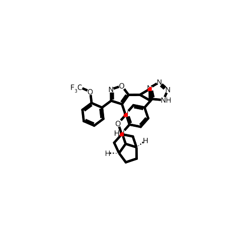 FC(F)(F)Oc1ccccc1-c1noc(C2CC2)c1COC1C[C@H]2CC[C@@H](C1)C2Nc1ccc(-c2nnn[nH]2)cn1